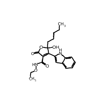 CCCCCC1(O)OC(=O)C(C(=O)NOCC)=C1c1cc2ccccc2[nH]1